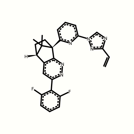 C=Cc1ncn(-c2cccc([C@@]34CC[C@@H](c5cc(-c6c(F)cccc6F)nnc53)C4(C)C)n2)n1